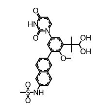 COc1c(-c2ccc3cc(NS(C)(=O)=O)ccc3c2)cc(-n2ccc(=O)[nH]c2=O)cc1C(C)(C)C(O)O